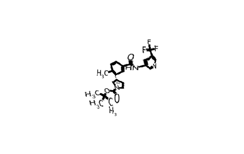 Cc1ccc(C(=O)Nc2cncc(C(F)(F)F)c2)cc1[C@@H]1CCN(C(=O)OC(C)(C)C)C1